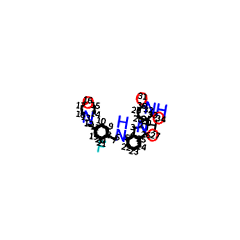 [2H]C1(N2Cc3c(NCc4ccc(CN5CCOCC5)cc4F)cccc3C2=O)CCC(=O)NC1=O